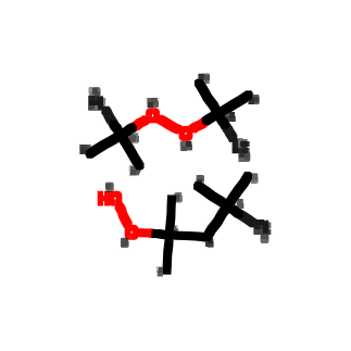 CCC(C)(C)CC(C)(C)OO.CCC(C)(C)OOC(C)(C)CC